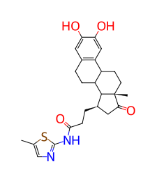 Cc1cnc(NC(=O)CC[C@@H]2CC(=O)[C@@]3(C)CCC4c5cc(O)c(O)cc5CCC4C23)s1